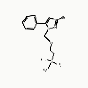 C[Si](C)(C)CCOCn1nc(Br)cc1-c1ccccc1